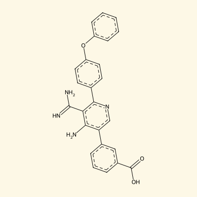 N=C(N)c1c(-c2ccc(Oc3ccccc3)cc2)ncc(-c2cccc(C(=O)O)c2)c1N